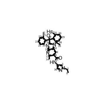 CCn1cc(NC(=O)c2cc3c(nc2C)nc(C(O)(c2ccccc2F)c2ccccc2F)n3CC)cn1